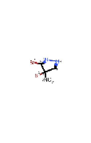 O=[N+]([O-])C1(Br)C=NN=C1Br